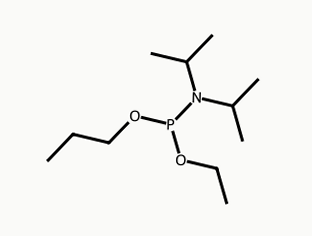 CCCOP(OCC)N(C(C)C)C(C)C